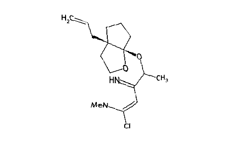 C=CC[C@@]12CCC[C@]1(OC(C)C(=N)/C=C(/Cl)NC)OCC2